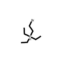 CC[PH](CC)(CC)CCBr